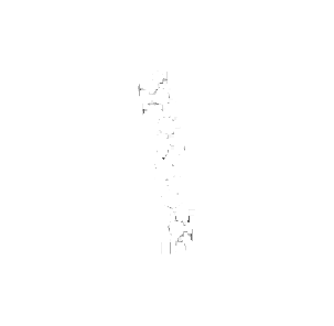 O=C(OC1CCC(C2CC=C(c3ccc(O)c(F)c3F)CC2)CC1)C1CCC(c2ccc(O)c(F)c2F)CC1